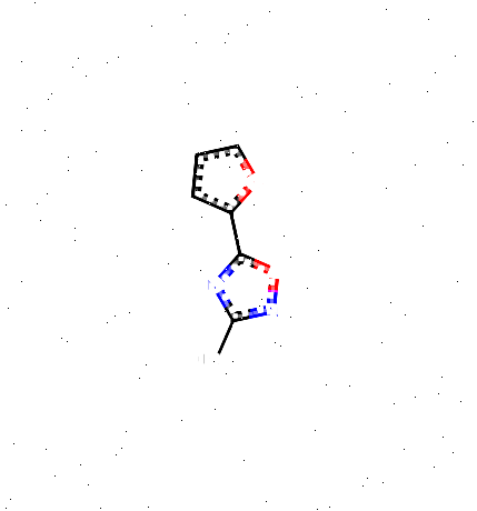 CC(C)(C)c1noc(-c2ccco2)n1